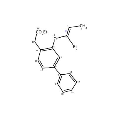 C/C=C(\CC)Oc1cc(-c2ccccc2)ccc1CC(=O)OCC